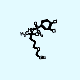 CC(C)(C)COCCCC(C)(C)NS(=O)(=O)c1ccc(Cl)c(Cl)c1